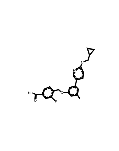 Cc1cc(OCc2ccc(C(=O)O)cc2F)cc(-c2ccc(OCC3CC3)nc2)c1